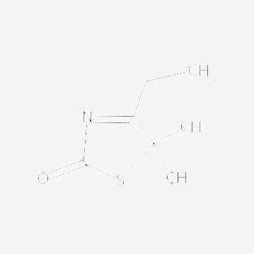 CCC1=NC(=O)SC1(C)C